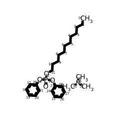 CCCCCCCCCCCCOP(=O)(Oc1ccccc1)Oc1ccccc1.CN(C)C